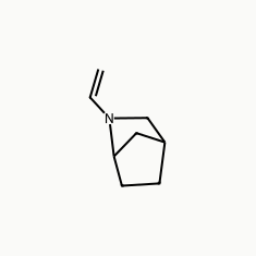 C=CN1CC2CCC1C2